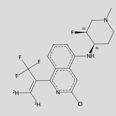 [2H]C([2H])=C(c1nc(Cl)cc2c(N[C@@H]3CCN(C)C[C@@H]3F)cccc12)C(F)(F)F